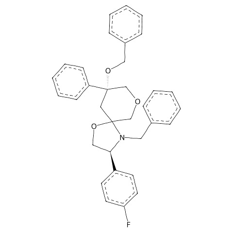 Fc1ccc([C@H]2COC3(COC[C@](OCc4ccccc4)(c4ccccc4)C3)N2Cc2ccccc2)cc1